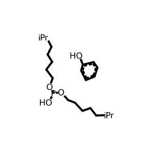 CC(C)CCCCCOP(O)OCCCCCC(C)C.Oc1ccccc1